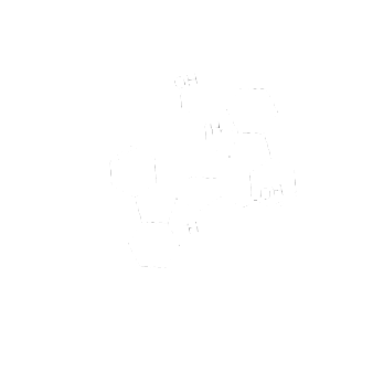 OCCCC1(CCC2(CCCO)C3CC=CCC3C3CCCC[C@@H]32)C2CC=CCC2C2CCCC[C@@H]21